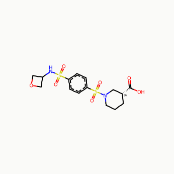 O=C(O)[C@@H]1CCCN(S(=O)(=O)c2ccc(S(=O)(=O)NC3COC3)cc2)C1